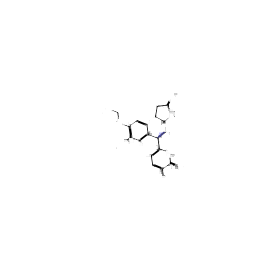 CCOc1ccc(/C(=C\[C@H]2CCC(=O)N2)c2ccc(Cl)c(=O)[nH]2)cc1C